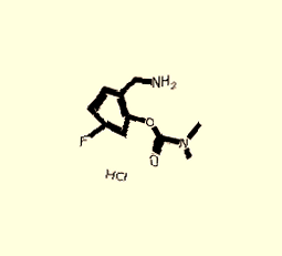 CN(C)C(=O)Oc1cc(F)ccc1CN.Cl